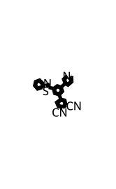 N#Cc1ccc(-c2cc(-c3cccnc3)cc(-c3nc4ccccc4s3)c2)cc1C#N